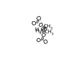 C[Si](C)(O[Si](C)(C)c1ccc(P(c2ccccc2)c2ccccc2)cc1)c1ccc(P(c2ccccc2)c2ccccc2)cc1